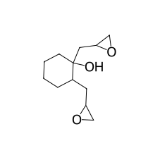 OC1(CC2CO2)CCCCC1CC1CO1